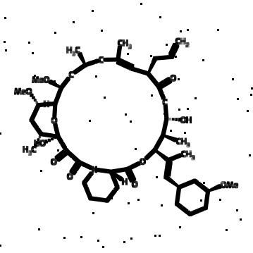 C=CC[C@@H]1/C=C(\C)C[C@H](C)C[C@H](OC)[C@H]2O[C@@](O)(C(=O)C(=O)N3CCCC[C@H]3C(=O)O[C@H](/C(C)=C/[C@@H]3CCC[C@H](OC)C3)[C@H](C)[C@@H](O)CC1=O)[C@H](C)C[C@@H]2OC